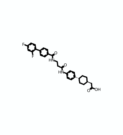 O=C(O)C[C@H]1CC[C@H](c2ccc(NC(=O)CCNC(=O)c3ccc(-c4ccc(F)cc4F)cc3)cc2)CC1